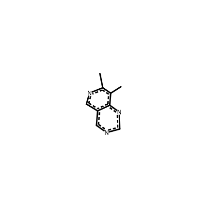 Cc1ncc2cncnc2c1C